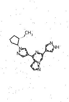 CC[C@H]1CCC[C@H]1n1cc(-c2nc(-c3cn[nH]c3)cn3nccc23)cn1